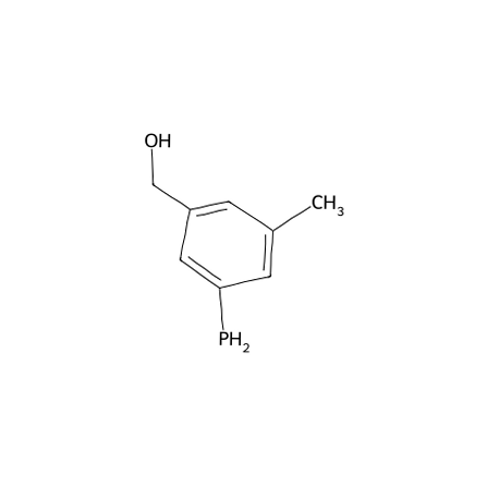 Cc1cc(P)cc(CO)c1